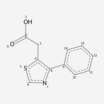 O=C(O)Cc1s[c]nc1-c1ccccc1